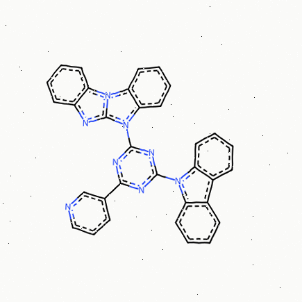 c1cncc(-c2nc(-n3c4ccccc4c4ccccc43)nc(-n3c4ccccc4n4c5ccccc5nc34)n2)c1